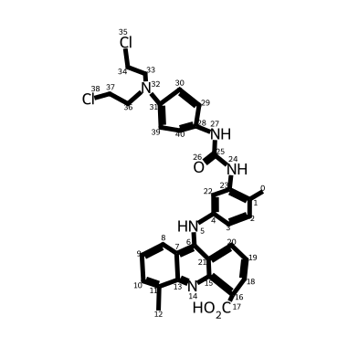 Cc1ccc(Nc2c3cccc(C)c3nc3c(C(=O)O)cccc23)cc1NC(=O)Nc1ccc(N(CCCl)CCCl)cc1